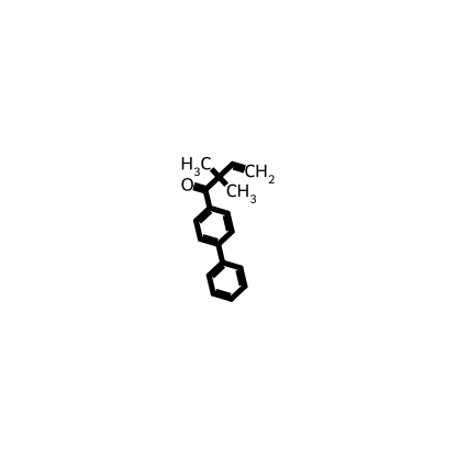 C=CC(C)(C)C(=O)c1ccc(-c2ccccc2)cc1